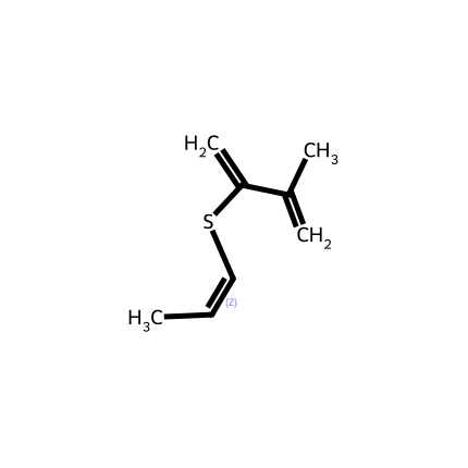 C=C(C)C(=C)S/C=C\C